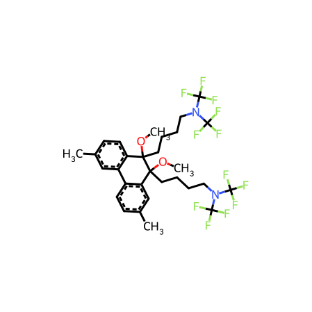 COC1(CCCCN(C(F)(F)F)C(F)(F)F)c2ccc(C)cc2-c2ccc(C)cc2C1(CCCCN(C(F)(F)F)C(F)(F)F)OC